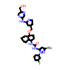 CC(C)(C)c1cc(NC(=O)Nc2ccc(OCc3ccnc(Nc4cnc(CO)cn4)c3)c3ccccc23)n(-c2cccc(F)c2)n1